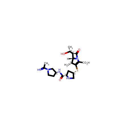 CC(=N)N1CC[C@@H](NC(=O)[C@@H]2C[C@H](SC3=C(C(=O)O)N4C(=O)[C@H]([C@@H](C)O)[C@H]4[C@H]3C)CN2)C1